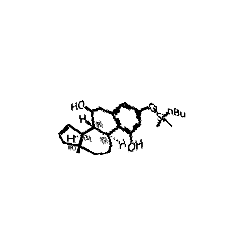 CCCC[Si](C)(C)Oc1cc(O)c2c(c1)CC(O)[C@@H]1[C@@H]2CC[C@]2(C)CC=C[C@@H]12